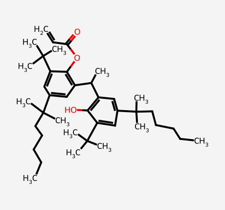 C=CC(=O)Oc1c(C(C)c2cc(C(C)(C)CCCCC)cc(C(C)(C)C)c2O)cc(C(C)(C)CCCCC)cc1C(C)(C)C